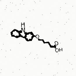 O=C(O)CCCCCOc1ccc2c(c1)[nH]c1ccccc12